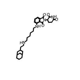 O=C1CCC(N2C(=O)c3cccc(NCCCCCCNCCC4CC5CCCC(C5)C4)c3C2=O)C(=O)N1